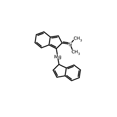 C[Si](C)=C1C=c2ccccc2=[C]1[Mg][CH]1C=Cc2ccccc21